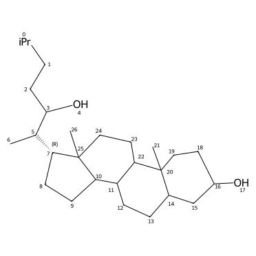 CC(C)CCC(O)C(C)[C@H]1CCC2C3CCC4CC(O)CCC4(C)C3CCC21C